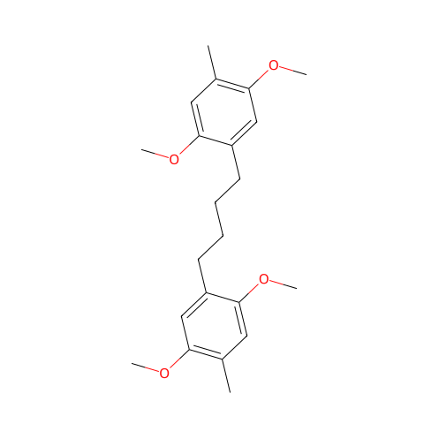 COc1cc(CCCCc2cc(OC)c(C)cc2OC)c(OC)cc1C